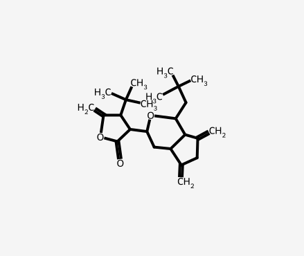 C=C1CC(=C)C2C(CC(C)(C)C)OC(C3C(=O)OC(=C)C3C(C)(C)C)CC12